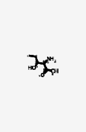 CCC(O)C(N)C(=O)O